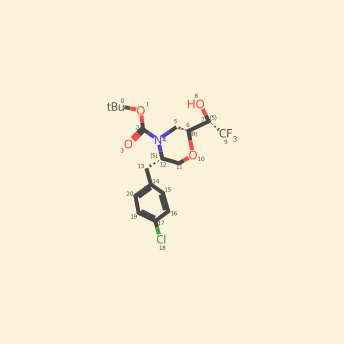 CC(C)(C)OC(=O)N1C[C@H]([C@H](O)C(F)(F)F)OC[C@@H]1Cc1ccc(Cl)cc1